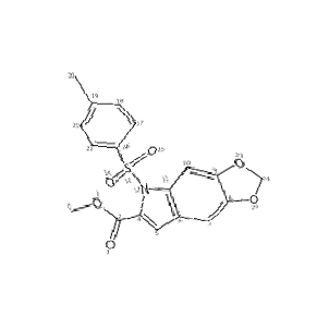 COC(=O)c1cc2cc3c(cc2n1S(=O)(=O)c1ccc(C)cc1)OCO3